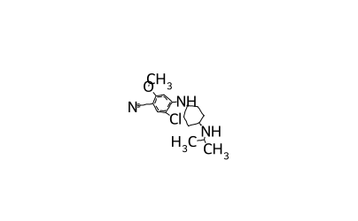 COc1cc(N[C@H]2CC[C@H](NC(C)C)CC2)c(Cl)cc1C#N